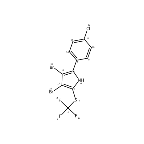 FC(F)(F)Sc1[nH]c(-c2ccc(Cl)cc2)c(Br)c1Br